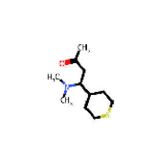 CC(=O)CC(C1CCSCC1)N(C)C